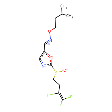 CC(C)CCO/N=C/c1cnc([S+]([O-])CCC(F)=C(F)F)o1